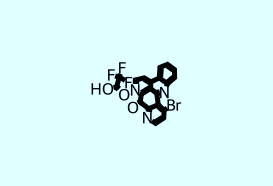 O=C(O)C(F)(F)F.O=C1c2nccc(Br)c2-c2nc3ccccc3c3ccnc1c23